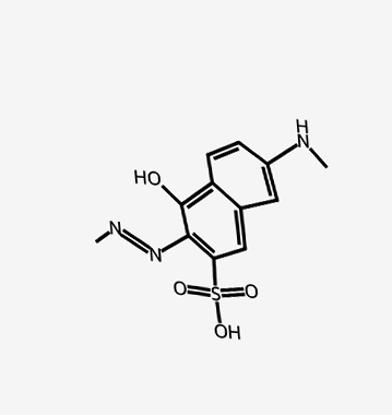 CN=Nc1c(S(=O)(=O)O)cc2cc(NC)ccc2c1O